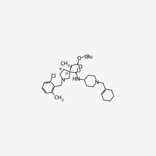 Cc1cccc(Cl)c1CN1C[C@H](C)[C@](CC(=O)OC(C)(C)C)(C(=O)NC2CCN(CC3=CCCCC3)CC2)C1